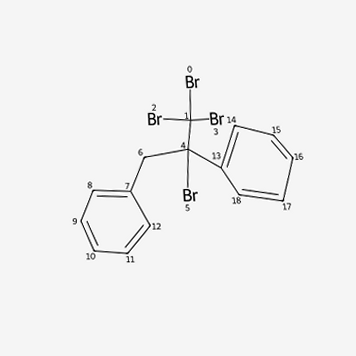 BrC(Br)(Br)C(Br)(Cc1ccccc1)c1ccccc1